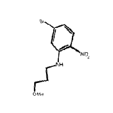 COCCCNc1cc(Br)ccc1[N+](=O)[O-]